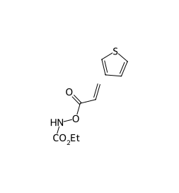 C=CC(=O)ONC(=O)OCC.c1ccsc1